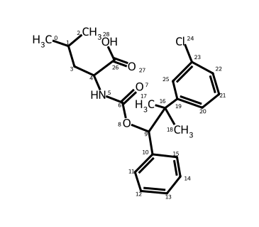 CC(C)CC(NC(=O)OC(c1ccccc1)C(C)(C)c1cccc(Cl)c1)C(=O)O